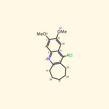 COc1cc2nc3c(c(Cl)c2cc1OC)CCCCC3